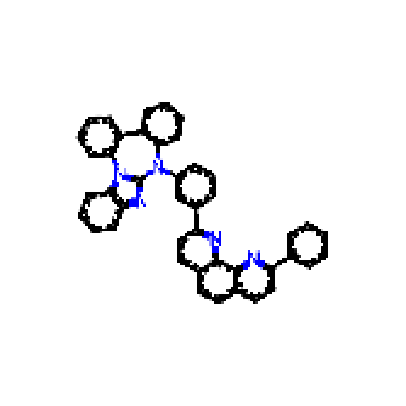 c1ccc(-c2ccc3ccc4ccc(-c5cccc(N6c7ccccc7-c7ccccc7-n7c6nc6ccccc67)c5)nc4c3n2)cc1